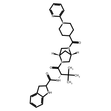 CC(C)(C)[C@H](NC(=O)C1Cc2ccccc2N1)C(=O)N1C[C@@H]2C[C@H]1CN2C(=O)C1CCN(c2ccccn2)CC1